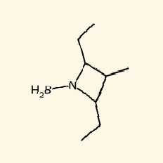 BN1C(CC)C(C)C1CC